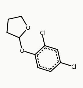 Clc1ccc(OC2CCCO2)c(Cl)c1